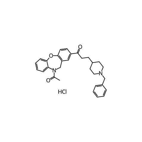 CC(=O)N1Cc2cc(C(=O)CCC3CCN(Cc4ccccc4)CC3)ccc2Oc2ccccc21.Cl